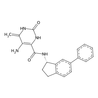 C=C1NC(=O)NC(C(=O)N[C@H]2CCc3ccc(-c4ccccc4)cc32)=C1N